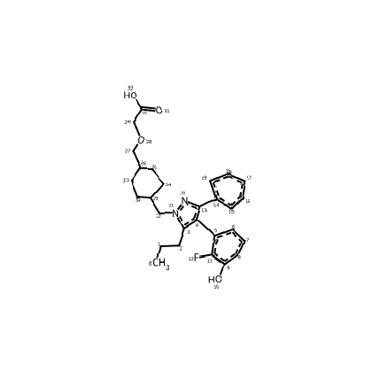 CCCc1c(-c2cccc(O)c2F)c(-c2ccccc2)nn1CC1CCC(COCC(=O)O)CC1